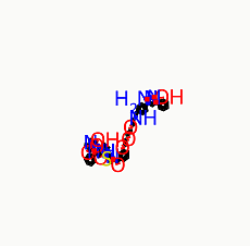 CC(C(=O)N[C@H](C(=O)N1CCCC1c1nc(C(=O)c2cccc(OCCOCCOCCNCc3ccc(-c4cc(-c5ccccc5O)nnc4N)cc3)c2)cs1)C1CCCCC1)N(C)C(=O)O